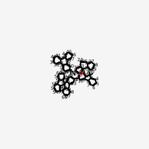 CC1(C)c2ccccc2-c2cc(-c3cc4c(cc3N(c3ccc5c(ccc6ccccc65)c3)c3ccc5c6ccccc6c6ccccc6c5c3)C3(c5ccccc5-c5ccccc53)c3ccccc3-4)ccc21